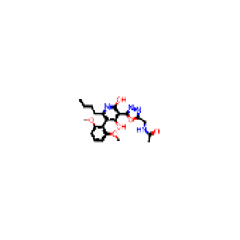 CCCCc1nc(O)c(-c2nnc(CNC(C)=O)o2)c(O)c1-c1c(OC)cccc1OC